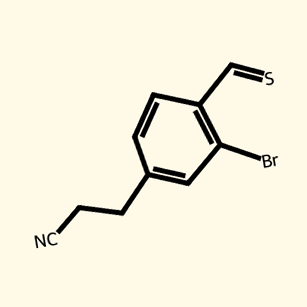 N#CCCc1ccc(C=S)c(Br)c1